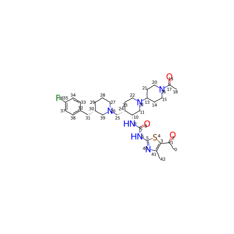 CC(=O)c1sc(NC(=O)N[C@H]2CN(C3CCN(C(C)=O)CC3)CC[C@H]2CN2CCC[C@@H](Cc3ccc(F)cc3)C2)nc1C